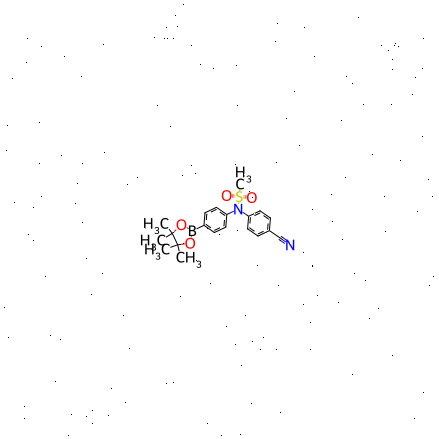 CC1(C)OB(c2ccc(N(c3ccc(C#N)cc3)S(C)(=O)=O)cc2)OC1(C)C